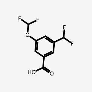 O=C(O)c1cc(OC(F)F)cc(C(F)F)c1